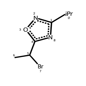 CC(C)c1noc(C(C)Br)n1